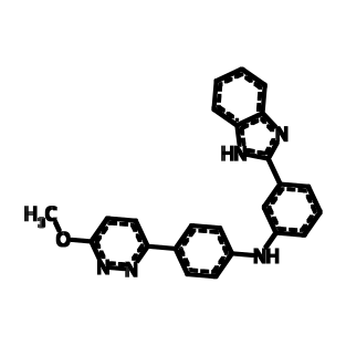 COc1ccc(-c2ccc(Nc3cccc(-c4nc5ccccc5[nH]4)c3)cc2)nn1